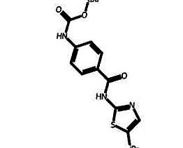 CC(C)c1cnc(NC(=O)c2ccc(NC(=O)OC(C)(C)C)cc2)s1